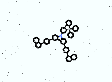 c1ccc([Si]2(c3ccccc3)c3ccccc3-c3ccc(-n4c5ccc(-c6ccc(-c7cccc8ccccc78)cc6)cc5c5cc(-c6ccc(-c7cccc8ccccc78)cc6)ccc54)cc32)cc1